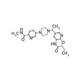 CCC1Oc2ncc(C(C)N3CCN(c4ccc(C(=O)NC)nc4)CC3)cc2NC1=O